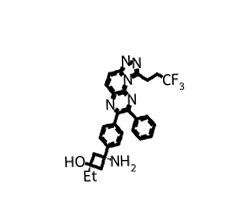 CC[C@]1(O)C[C@@](N)(c2ccc(-c3nc4ccc5nnc(CCC(F)(F)F)n5c4nc3-c3ccccc3)cc2)C1